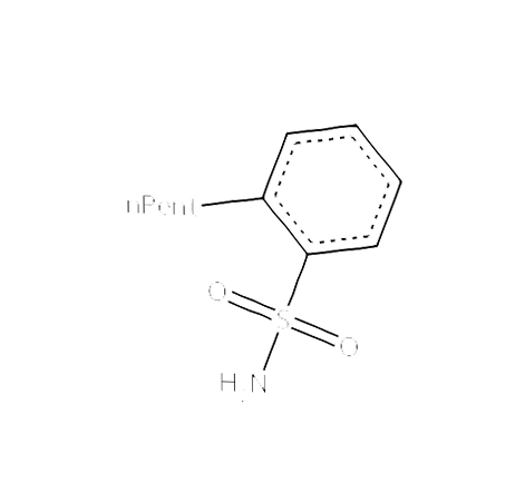 CCCCCc1ccccc1S(N)(=O)=O